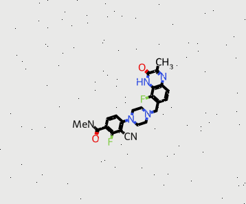 CNC(=O)c1ccc(N2CCN(Cc3ccc4nc(C)c(=O)[nH]c4c3F)CC2)c(C#N)c1F